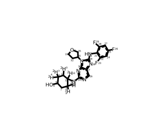 [2H]C1C([2H])([2H])C(O)CC([2H])([2H])C1([2H])Nc1ncc2nc(Nc3c(F)cc(F)cc3F)n(C3CCOC3)c2n1